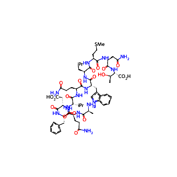 CSCC[C@H](NC(=O)[C@H](CC(C)C)NC(=O)[C@H](Cc1c[nH]c2ccccc12)NC(=O)[C@H](CCC(N)=O)NC(=O)[C@@H](NC(=O)[C@H](Cc1ccccc1)NC(=O)[C@H](CC(=O)O)NC(=O)[C@H](CCC(N)=O)NC(=O)[C@H](C)N)C(C)C)C(=O)N[C@@H](CC(N)=O)C(=O)N[C@H](C(=O)O)[C@@H](C)O